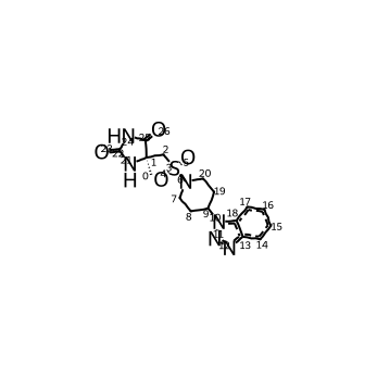 C[C@]1(CS(=O)(=O)N2CCC(n3nnc4ccccc43)CC2)NC(=O)NC1=O